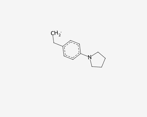 [CH2]Cc1ccc(N2CCCC2)cc1